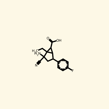 CCC12C(C(=O)O)C1C(c1ccc(F)cc1)CC2(N)C#N